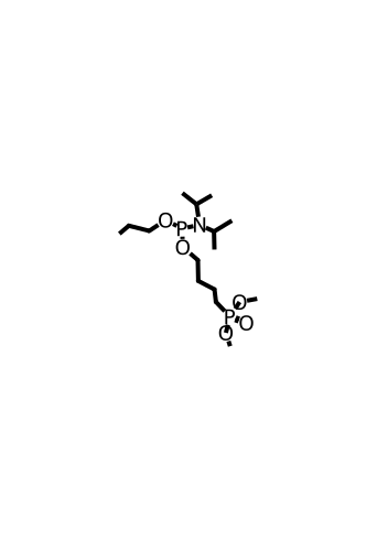 CCCOP(OCCCCP(=O)(OC)OC)N(C(C)C)C(C)C